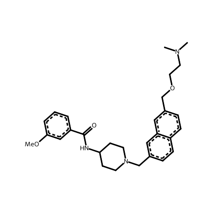 COc1cccc(C(=O)NC2CCN(Cc3ccc4ccc(COCCN(C)C)cc4c3)CC2)c1